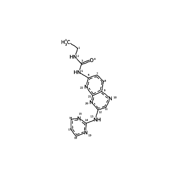 CCNC(=O)Nc1ccc2ncc(Nc3ncccn3)nc2n1